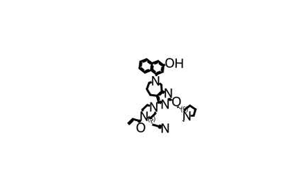 C=CC(=O)N1CCN(c2nc(OC[C@@H]3CCCN3C)nc3c2CCCN(c2cc(O)cc4ccccc24)C3)C[C@@H]1CC#N